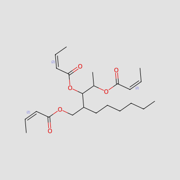 C/C=C\C(=O)OCC(CCCCCC)C(OC(=O)/C=C\C)C(C)OC(=O)/C=C\C